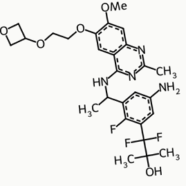 COc1cc2nc(C)nc(NC(C)c3cc(N)cc(C(F)(F)C(C)(C)O)c3F)c2cc1OCCOC1COC1